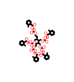 Cc1ccccc1C(=O)OOC(=O)OCCC(COC(=O)OOC(=O)c1ccccc1C)C(COC(=O)OOC(=O)c1ccccc1C)C(CCOC(=O)OOC(=O)c1ccccc1C)COC(=O)OOC(=O)c1ccccc1C